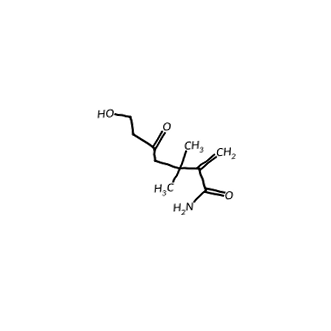 C=C(C(N)=O)C(C)(C)CC(=O)CCO